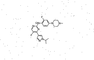 CC(C)n1cc(-c2nc(Nc3ccc(N4CCN(C)CC4)cc3F)ncc2F)cn1